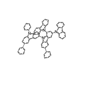 c1ccc(-c2ccc3c(c2)c2cc(-n4c5ccc(-c6ccccc6)cc5c5cc(-n6c7ccccc7c7ccccc76)cc(-n6c7ccccc7c7ccccc76)c54)ccc2n3-c2ccccc2)cc1